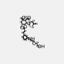 CO[C@@H]1[C@H](OC(=O)/C=C/c2cccc(NCCOCCO)c2)CC[C@]2(CO2)[C@H]1[C@@]1(C)O[C@@H]1CC=C(C)C